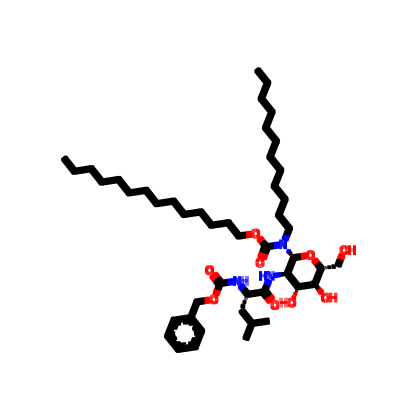 CCCCCCCCCCCCCCOC(=O)N(CCCCCCCCCCCC)[C@@H]1O[C@H](CO)[C@@H](O)[C@H](O)[C@H]1NC(=O)[C@H](CC(C)C)NC(=O)OCc1ccccc1